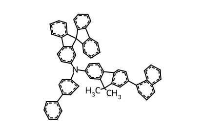 CC1(C)c2cc(-c3cccc4ccccc34)ccc2-c2ccc(N(c3ccc(-c4ccccc4)cc3)c3ccc4c(c3)C3(c5ccccc5-c5ccccc53)c3ccccc3-4)cc21